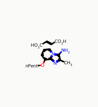 CCCCCOc1cccn2c(N)c(C)nc12.O=C(O)C=CC(=O)O